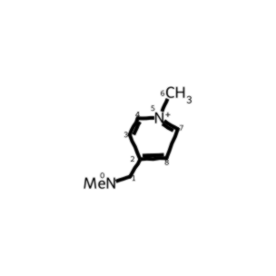 CNCc1cc[n+](C)cc1